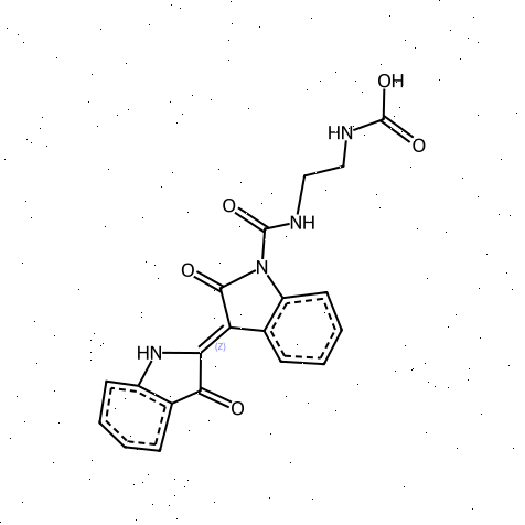 O=C(O)NCCNC(=O)N1C(=O)/C(=C2\Nc3ccccc3C2=O)c2ccccc21